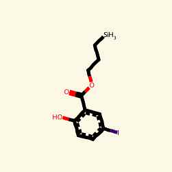 O=C(OCCC[SiH3])c1cc(I)ccc1O